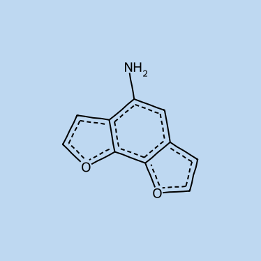 Nc1cc2ccoc2c2occc12